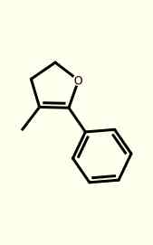 CC1=C(c2ccccc2)OCC1